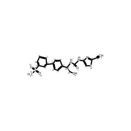 C#Cc1nc(NC(=O)N[C@@H](CO)c2ccc(-c3cccc(S(C)(=O)=O)c3)cc2)cs1